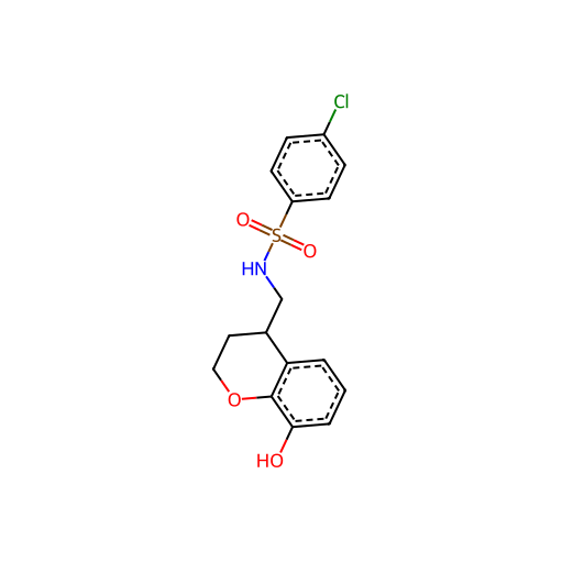 O=S(=O)(NCC1CCOc2c(O)cccc21)c1ccc(Cl)cc1